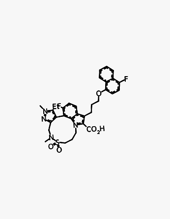 CCc1c2c(nn1C)CN(C)S(=O)(=O)CCCn1c(C(=O)O)c(CCCOc3ccc(F)c4ccccc34)c3ccc(F)c-2c31